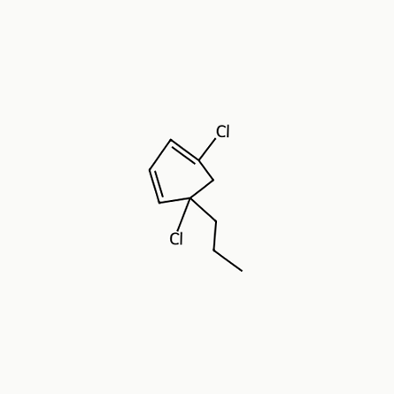 CCCC1(Cl)C=CC=C(Cl)C1